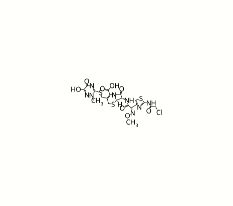 CO/N=C(\C(=O)N[C@@H]1C(=O)N2C(C(=O)O)=C(CSc3nc(=O)c(O)nn3C)CS[C@H]12)c1csc(NC(=O)CCl)n1